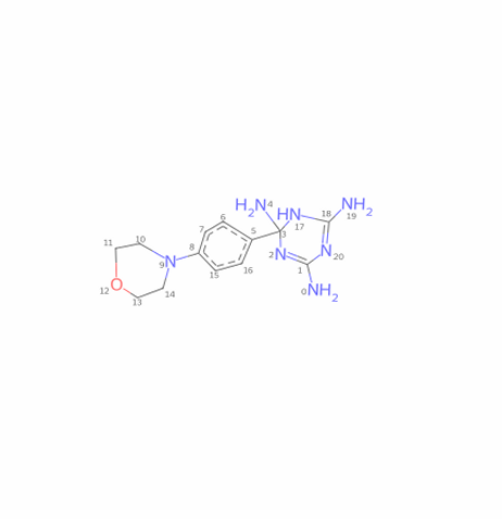 NC1=NC(N)(c2ccc(N3CCOCC3)cc2)NC(N)=N1